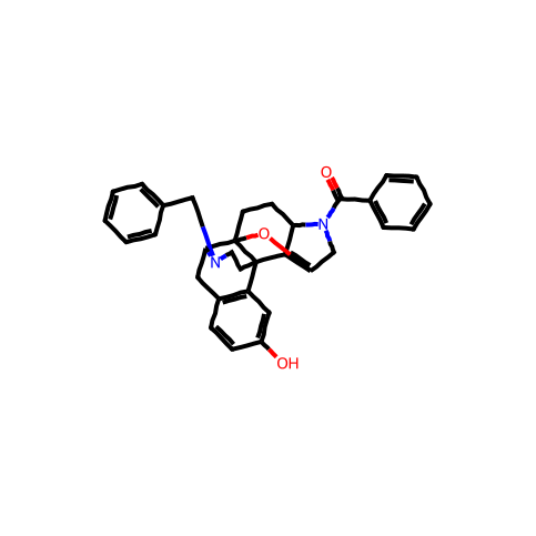 O=C(c1ccccc1)N1CC2=C3C1CCC1(O2)C2Cc4ccc(O)cc4C31CCN2Cc1ccccc1